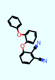 N#Cc1cccc(Oc2ccccc2Oc2ccccc2)c1C#N